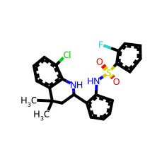 CC1(C)CC(c2ccccc2NS(=O)(=O)c2ccccc2F)Nc2c(Cl)cccc21